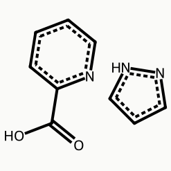 O=C(O)c1ccccn1.c1cn[nH]c1